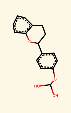 OC(O)Oc1ccc(C2CCc3ccccc3O2)cc1